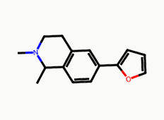 CC1c2ccc(-c3ccco3)cc2CCN1C